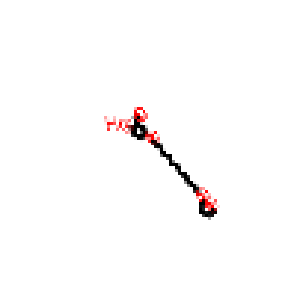 O=Cc1cc(OCCCCCCCCCCCOC2CCCCO2)ccc1O